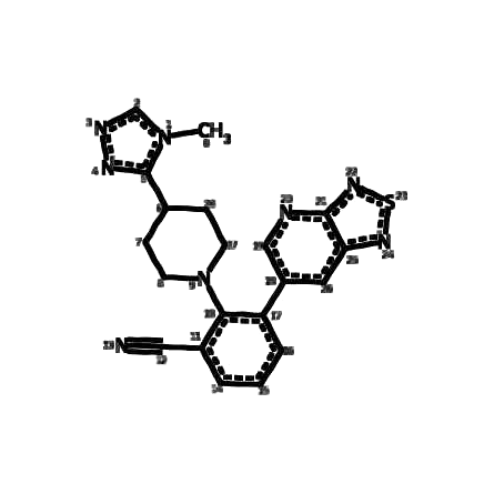 Cn1cnnc1C1CCN(c2c(C#N)cccc2-c2cnc3nsnc3c2)CC1